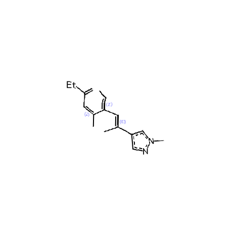 C=C(\C=C(C)/C(=C\C)/C=C(\C)c1cnn(C)c1)CC